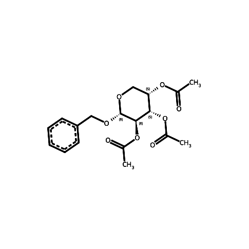 CC(=O)O[C@@H]1[C@@H](OC(C)=O)[C@H](OCc2ccccc2)OC[C@@H]1OC(C)=O